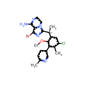 CCOc1c([C@H](C)c2nc(Br)c3c(N)nccn23)cc(Cl)c(C)c1-c1ccc(C)nc1